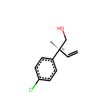 C=C[C@](C)(CO)c1ccc(Cl)cc1